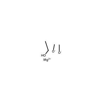 CCO.C[O-].C[O-].[Mg+2]